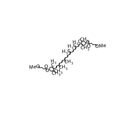 COCCCC(=O)OC1CC(C)=C(/C=C/C(C)=C/C=C/C(C)=C/C=C/C=C(C)/C=C/C=C(C)/C=C/C2=C(C)CC(OC(=O)CCCOC)CC2(C)C)C(C)(C)C1